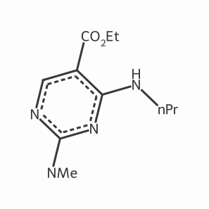 CCCNc1nc(NC)ncc1C(=O)OCC